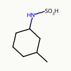 CC1CCCC(NS(=O)(=O)O)C1